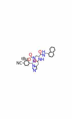 CC(C)(C)OC(=O)NC[C@H](NC(=O)Cc1cncn1Cc1ccc(C#N)cc1)C(=O)NCc1cccc2ccccc12